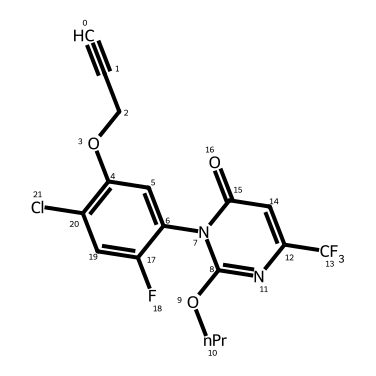 C#CCOc1cc(-n2c(OCCC)nc(C(F)(F)F)cc2=O)c(F)cc1Cl